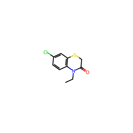 CCN1C(=O)CSc2cc(Cl)ccc21